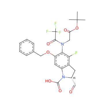 CC(C)(C)OC(=O)CN(C(=O)C(F)(F)F)c1c(OCc2ccccc2)cc2c(c1F)C[C@H](C=O)N2C(=O)O